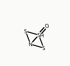 O=[SH]12SN1S2